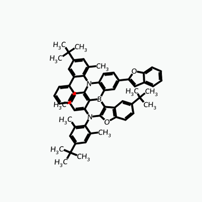 Cc1cc2c3c(c1)N(c1c(C)cc(C(C)(C)C)cc1C)c1oc4ccc(C(C)(C)C)cc4c1B3c1cc(-c3cc4ccccc4o3)ccc1N2c1c(C)cc(C(C)(C)C)cc1-c1ccccc1